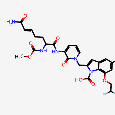 COC(=O)NC(CCC=CC(N)=O)C(=O)Nc1cccn(Cc2cc3cc(F)cc(OCC(F)F)c3n2C(=O)O)c1=O